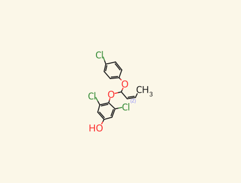 C/C=C\C(Oc1ccc(Cl)cc1)Oc1c(Cl)cc(O)cc1Cl